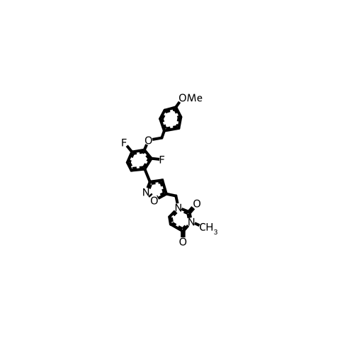 COc1ccc(COc2c(F)ccc(-c3cc(Cn4ccc(=O)n(C)c4=O)on3)c2F)cc1